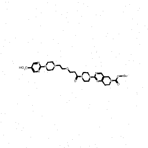 CC(C)(C)OC(=O)N1CCc2nc(N3CCN(C(=O)CCOCCN4CCN(c5ncc(C(=O)O)cn5)CC4)CC3)ncc2C1